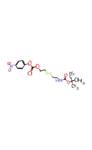 CC(C)(C)OC(=O)NCCSSCCOC(=O)Oc1ccc([N+](=O)[O-])cc1